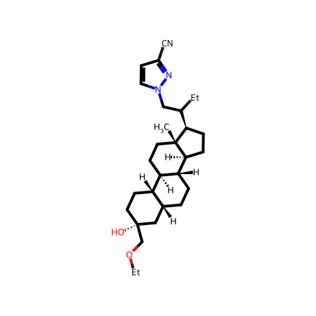 CCOC[C@@]1(O)CC[C@H]2[C@H](CC[C@@H]3[C@@H]2CC[C@]2(C)[C@@H](C(CC)Cn4ccc(C#N)n4)CC[C@@H]32)C1